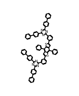 c1ccc(-c2ccc(-c3nc(-c4ccc(-c5ccccc5)cc4)nc(-c4cccc(-c5cc6c(-c7ccccc7)c7sc(-c8cccc(-c9nc(-c%10ccc(-c%11ccccc%11)cc%10)nc(-c%10ccc(-c%11ccccc%11)cc%10)n9)c8)cc7c(-c7ccccc7)c6s5)c4)n3)cc2)cc1